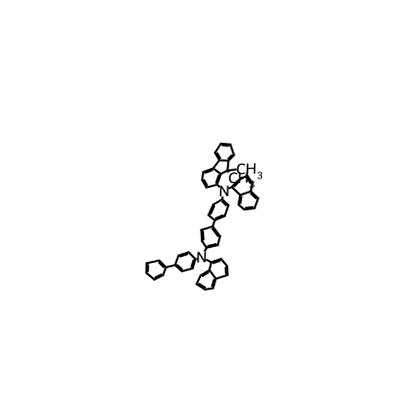 CC1(C)c2ccccc2-c2cccc(N(c3ccc(-c4ccc(N(c5ccc(-c6ccccc6)cc5)c5cccc6ccccc56)cc4)cc3)c3cccc4ccccc34)c21